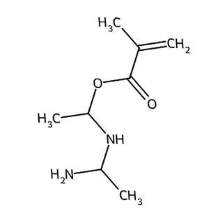 C=C(C)C(=O)OC(C)NC(C)N